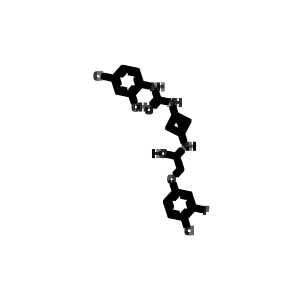 O=C(Nc1ccc(Cl)cc1O)NC12CC(NC(O)COc3ccc(Cl)c(F)c3)(C1)C2